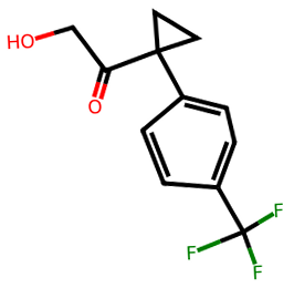 O=C(CO)C1(c2ccc(C(F)(F)F)cc2)CC1